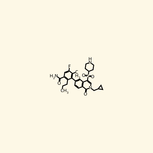 CCCc1c(C(N)=O)cc(F)c(C)c1-c1ccc2c(=O)n(CC3CC3)cc(S(=O)(=O)C3CCNCC3)c2c1